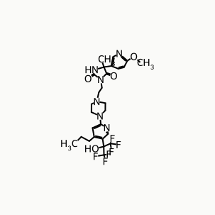 CCCc1cc(N2CCN(CCN3C(=O)NC(C)(c4ccc(OC)nc4)C3=O)CC2)ncc1C(O)(C(F)(F)F)C(F)(F)F